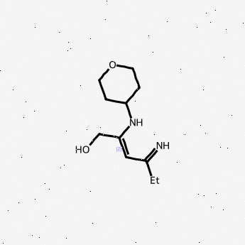 CCC(=N)/C=C(/CO)NC1CCOCC1